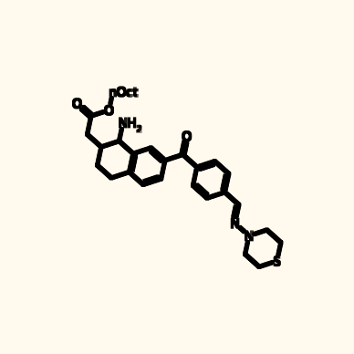 CCCCCCCCOC(=O)CC1CCc2ccc(C(=O)c3ccc(C=NN4CCSCC4)cc3)cc2C1N